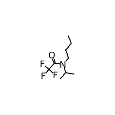 CCCCN(C(=O)C(F)(F)F)C(C)C